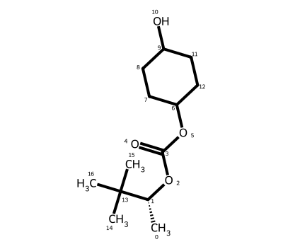 C[C@@H](OC(=O)OC1CCC(O)CC1)C(C)(C)C